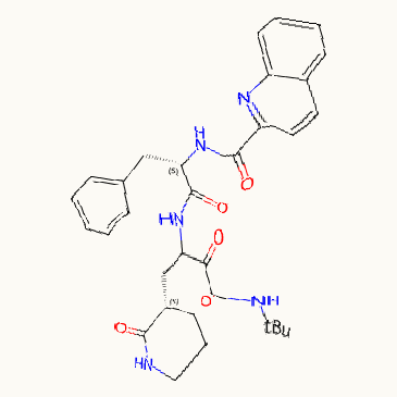 CC(C)(C)NC(=O)C(=O)C(C[C@@H]1CCCNC1=O)NC(=O)[C@H](Cc1ccccc1)NC(=O)c1ccc2ccccc2n1